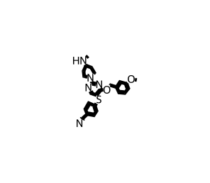 CNC1CCN(c2ncc(Sc3ccc(C#N)cc3)c(OCc3cccc(OC)c3)n2)CC1